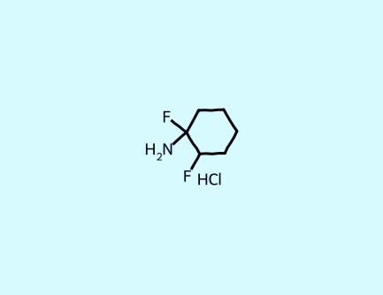 Cl.NC1(F)CCCCC1F